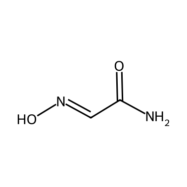 NC(=O)/C=N/O